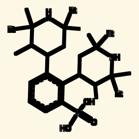 CCC1(C)CC(c2cccc(P(=O)(O)O)c2C2CC(C)(CC)NC(C)(CC)C2C)C(C)C(C)(CC)N1